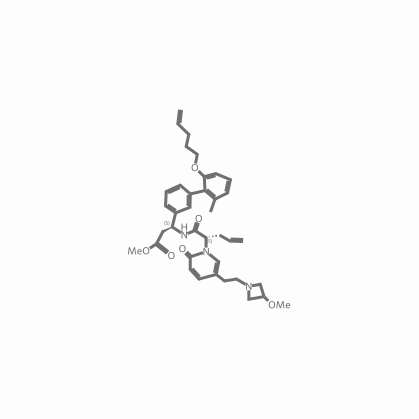 C=CCCCOc1cccc(C)c1-c1cccc([C@H](CC(=O)OC)NC(=O)[C@H](CC=C)n2cc(CCN3CC(OC)C3)ccc2=O)c1